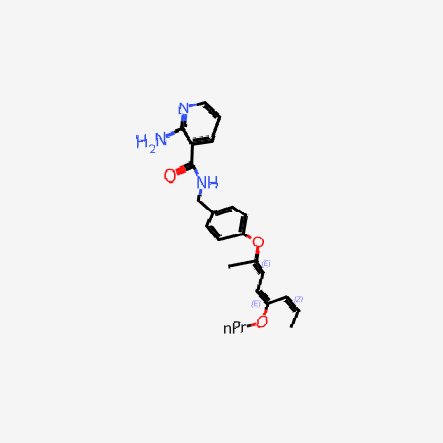 C\C=C/C(=C\C=C(/C)Oc1ccc(CNC(=O)c2cccnc2N)cc1)OCCC